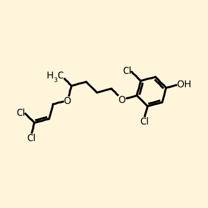 CC(CCCOc1c(Cl)cc(O)cc1Cl)OCC=C(Cl)Cl